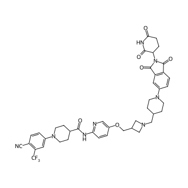 N#Cc1ccc(N2CCC(C(=O)Nc3ccc(OCC4CN(CC5CCN(c6ccc7c(c6)C(=O)N(C6CCC(=O)NC6=O)C7=O)CC5)C4)cn3)CC2)cc1C(F)(F)F